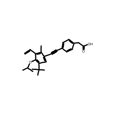 C=Cc1c(C)c(C#Cc2ccc(CC(=O)O)cc2)cc(C(C)(C)C)c1OC(C)C